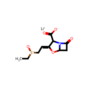 CC[S+]([O-])CC=C1OC2CC(=O)N2C1C(=O)[O-].[Li+]